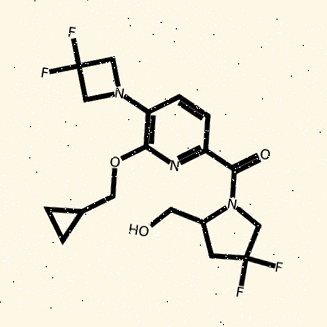 O=C(c1ccc(N2CC(F)(F)C2)c(OCC2CC2)n1)N1CC(F)(F)CC1CO